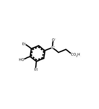 CCc1cc([S+]([O-])CCC(=O)O)cc(CC)c1O